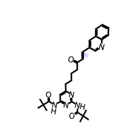 CC(C)(C)C(=O)Nc1cc(CCCCC(=O)/C=C/c2cnc3ccccc3c2)nc(NC(=O)C(C)(C)C)n1